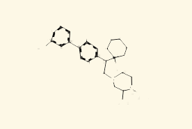 CC(C)(C)C1CN(CC(c2ccc(-c3cccc(F)c3)cc2)C2(O)CCCCC2)CCN1C(=O)O